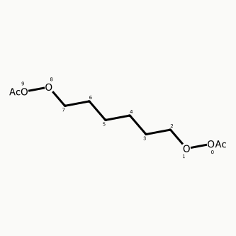 CC(=O)OOCCCCCCOOC(C)=O